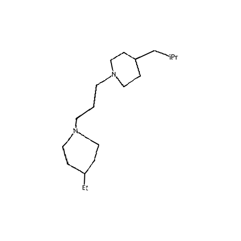 CCC1CCN(CCCN2CCC(CC(C)C)CC2)CC1